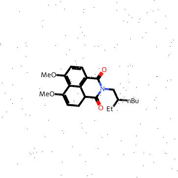 CCCCC(CC)CN1C(=O)c2ccc(OC)c3c2C(CC=C3OC)C1=O